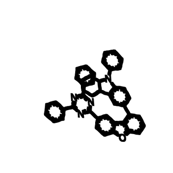 c1ccc(-c2nc(-c3ccccc3)nc(-c3ccc4oc5cccc(-c6ccc7c(c6)C6CCCCC6N7c6ccccc6)c5c4c3)n2)cc1